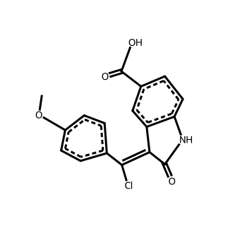 COc1ccc(/C(Cl)=C2/C(=O)Nc3ccc(C(=O)O)cc32)cc1